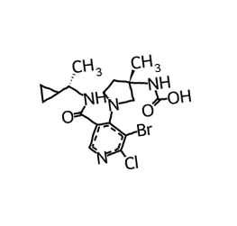 C[C@H](NC(=O)c1cnc(Cl)c(Br)c1N1CC[C@](C)(NC(=O)O)C1)C1CC1